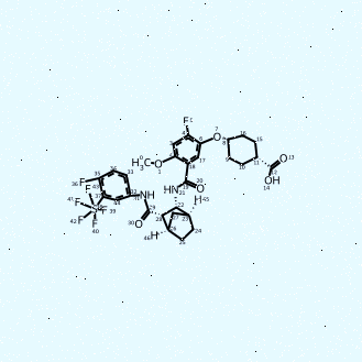 COc1cc(F)c(O[C@H]2CC[C@@H](C(=O)O)CC2)cc1C(=O)N[C@@H]1[C@H]2CC[C@H](C2)[C@@H]1C(=O)Nc1ccc(F)c(S(F)(F)(F)(F)F)c1